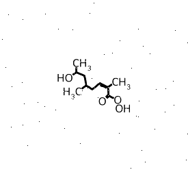 CC(=CCC(C)CC(C)O)C(=O)OO